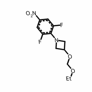 CCOCOC1CN(c2c(F)cc([N+](=O)[O-])cc2F)C1